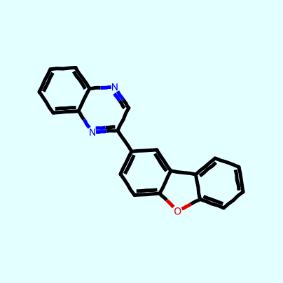 c1ccc2nc(-c3ccc4oc5ccccc5c4c3)cnc2c1